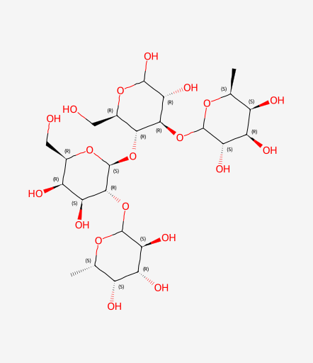 C[C@@H]1OC(O[C@H]2[C@H](O[C@H]3[C@H](OC4O[C@@H](C)[C@@H](O)[C@@H](O)[C@@H]4O)[C@@H](O)C(O)O[C@@H]3CO)O[C@H](CO)[C@H](O)[C@@H]2O)[C@@H](O)[C@H](O)[C@@H]1O